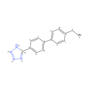 CC(C)Cc1ccc(-c2ccc(-c3nnn[nH]3)cc2)cc1